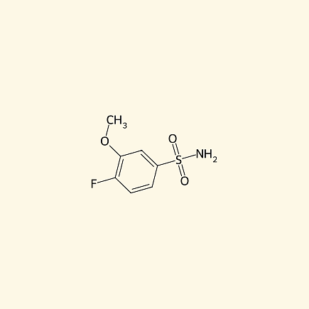 COc1cc(S(N)(=O)=O)ccc1F